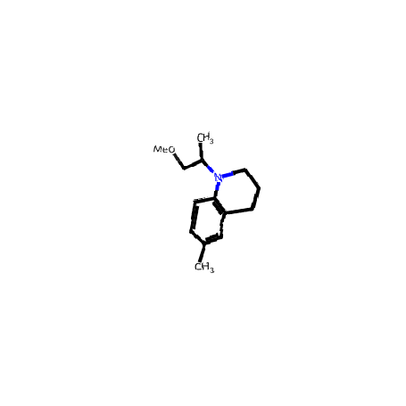 COCC(C)N1CCCc2cc(C)ccc21